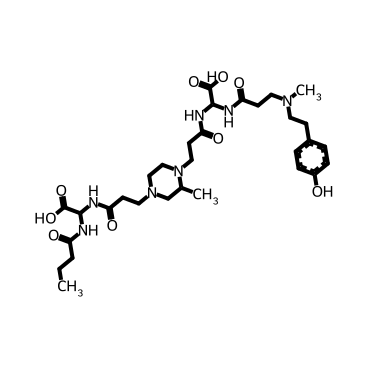 CCCC(=O)NC(NC(=O)CCN1CCN(CCC(=O)NC(NC(=O)CCN(C)CCc2ccc(O)cc2)C(=O)O)C(C)C1)C(=O)O